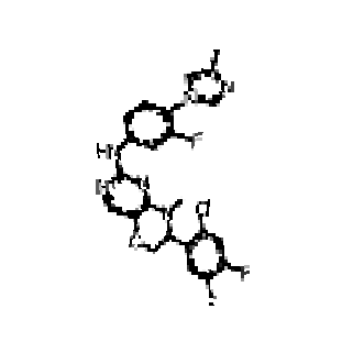 Cc1cn(-c2ccc(Nc3ncc4c(n3)N(C)C(c3cc(F)c(F)cc3Cl)CO4)cc2F)cn1